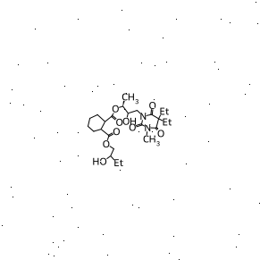 CCC(O)COC(=O)C1CCCCC1C(=O)O[C@@H](C)C(O)CN1C(=O)N(C)C(=O)C(CC)(CC)C1=O